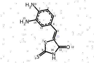 Nc1ccc(/C=C2\SC(=S)NC2=O)cc1N